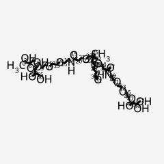 CC(O)C(CO)OC(OCCOCCOCCNC(=O)CCOCC(C)(COCCC=O)COCCC(=O)NCCOCCOCCOC(O)C(O)O)C(O)CO